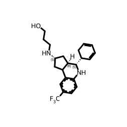 OCCCN[C@H]1CC2c3cc(C(F)(F)F)ccc3N[C@@H](C3C=CC=CC3)[C@@H]2C1